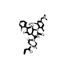 C=CC(=O)N1C[C@H](C)N(c2nc(=O)n(-c3c(C)cc(CN(C)C)cc3C(C)C)c3nc(-c4ccccc4F)c(F)cc23)C[C@H]1C